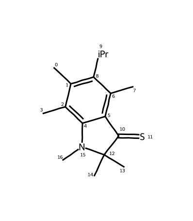 Cc1c(C)c2c(c(C)c1C(C)C)C(=S)C(C)(C)N2C